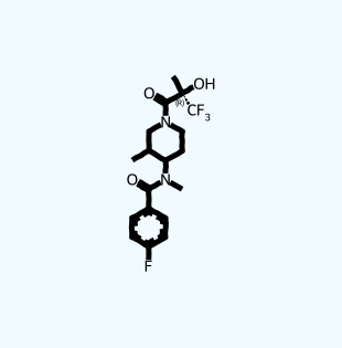 CC1CN(C(=O)[C@@](C)(O)C(F)(F)F)CCC1N(C)C(=O)c1ccc(F)cc1